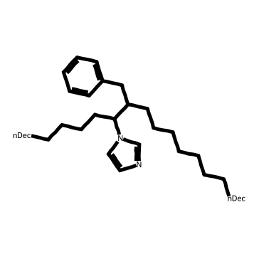 CCCCCCCCCCCCCCCCCC(Cc1ccccc1)C(CCCCCCCCCCCCCC)n1ccnc1